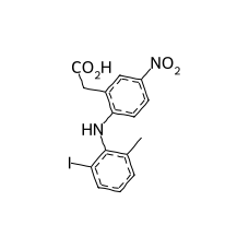 Cc1cccc(I)c1Nc1ccc([N+](=O)[O-])cc1CC(=O)O